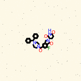 O=C1CCC(N2Cc3cc(C(=O)N4CCCN(C(c5ccccc5)c5ccccc5)CC4)cc(F)c3C2=O)C(=O)N1